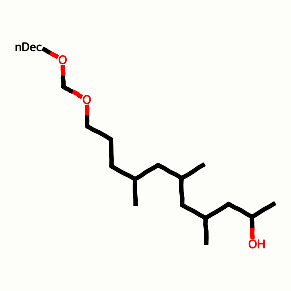 CCCCCCCCCCOCOCCCC(C)CC(C)CC(C)CC(C)O